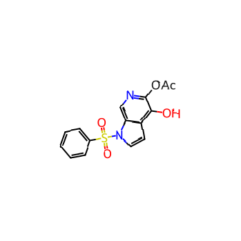 CC(=O)Oc1ncc2c(ccn2S(=O)(=O)c2ccccc2)c1O